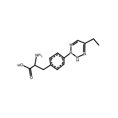 CCC1=NNN(c2ccc(CC(N)C(=O)O)cc2)N=C1